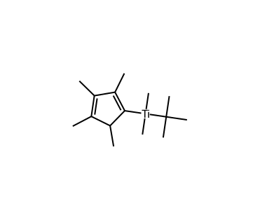 CC1=C(C)C(C)[C]([Ti]([CH3])([CH3])[C](C)(C)C)=C1C